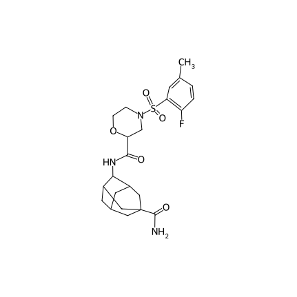 Cc1ccc(F)c(S(=O)(=O)N2CCOC(C(=O)NC3C4CC5CC3CC(C(N)=O)(C5)C4)C2)c1